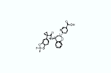 O=C(O)c1ccc([C@H]2C[C@H](NC(=O)C3(c4ccc5c(c4)OC(F)(F)O5)CC3)c3ccccc3O2)nc1